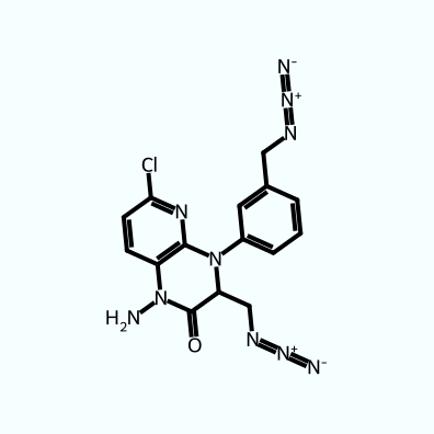 [N-]=[N+]=NCc1cccc(N2c3nc(Cl)ccc3N(N)C(=O)C2CN=[N+]=[N-])c1